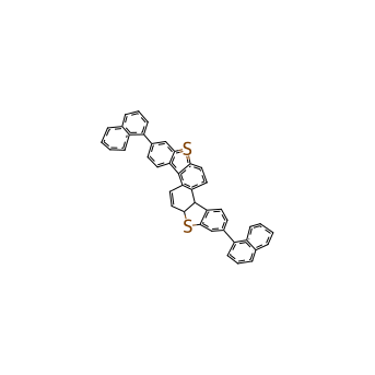 C1=CC2Sc3cc(-c4cccc5ccccc45)ccc3C2c2ccc3sc4cc(-c5cccc6ccccc56)ccc4c3c21